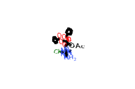 CC(=O)OC1C(OC(=O)c2ccccc2)[C@@H](COC(=O)c2ccccc2)O[C@H]1n1cnc2c(N)nc(Cl)nc21